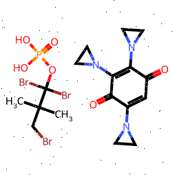 CC(C)(CBr)C(Br)(Br)OP(=O)(O)O.O=C1C=C(N2CC2)C(=O)C(N2CC2)=C1N1CC1